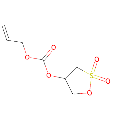 C=CCOC(=O)OC1COS(=O)(=O)C1